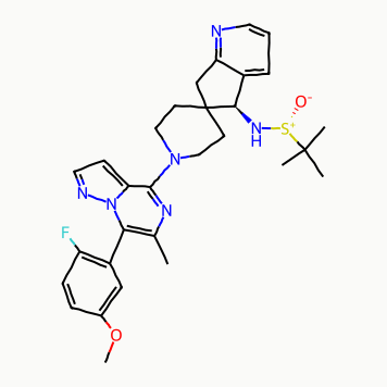 COc1ccc(F)c(-c2c(C)nc(N3CCC4(CC3)Cc3ncccc3[C@H]4N[S@+]([O-])C(C)(C)C)c3ccnn23)c1